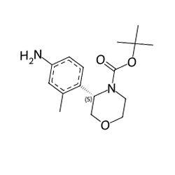 Cc1cc(N)ccc1[C@H]1COCCN1C(=O)OC(C)(C)C